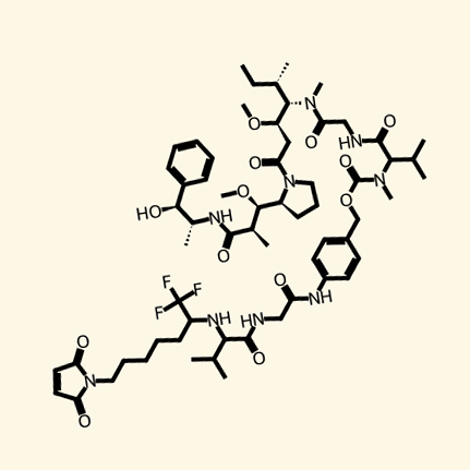 CC[C@H](C)[C@@H]([C@@H](CC(=O)N1CCC[C@H]1[C@H](OC)[C@@H](C)C(=O)N[C@H](C)[C@@H](O)c1ccccc1)OC)N(C)C(=O)CNC(=O)C(C(C)C)N(C)C(=O)OCc1ccc(NC(=O)CNC(=O)C(NC(CCCCCN2C(=O)C=CC2=O)C(F)(F)F)C(C)C)cc1